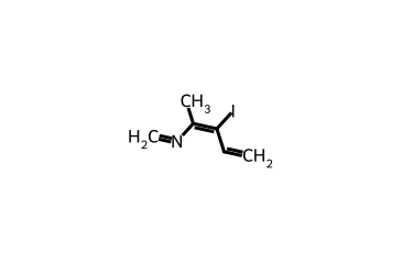 C=C/C(I)=C(/C)N=C